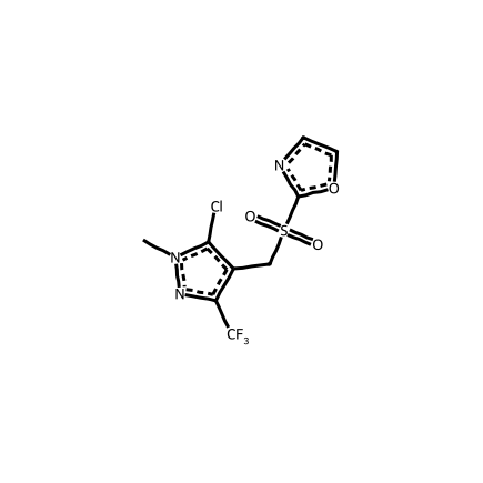 Cn1nc(C(F)(F)F)c(CS(=O)(=O)c2ncco2)c1Cl